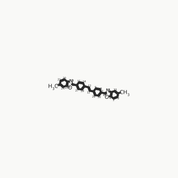 Cc1ccc2oc(-c3ccc(C=Cc4ccc(-c5nc6ccc(C)cc6o5)cc4)cc3)nc2c1